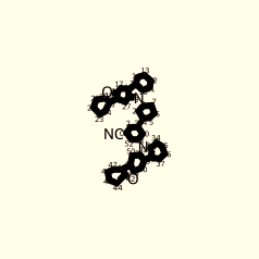 N#Cc1cc(-c2cccc(-n3c4ccccc4c4cc5oc6ccccc6c5cc43)c2)cc(-n2c3ccccc3c3cc4oc5ccccc5c4cc32)c1